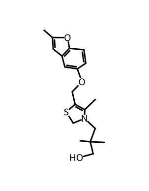 CC1=C(COc2ccc3oc(C)cc3c2)SCN1CC(C)(C)CO